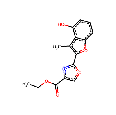 CCOC(=O)c1coc(-c2oc3cccc(O)c3c2C)n1